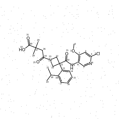 COc1cc(Cl)ncc1NC(=O)C1(c2ccccc2C(C)C)CN(C(=O)CC(C)(C)C(=O)O)C1